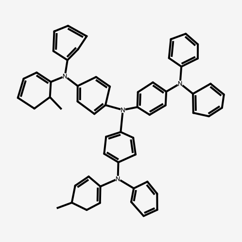 CC1C=CC(N(c2ccccc2)c2ccc(N(c3ccc(N(C4=CC=CCC4C)c4ccccc4)cc3)c3ccc(N(c4ccccc4)c4ccccc4)cc3)cc2)=CC1